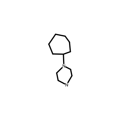 C1CCCC(N2CC[N]CC2)CC1